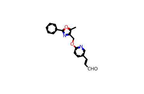 Cc1oc(-c2ccccc2)nc1COc1ccc(C=CC=O)cn1